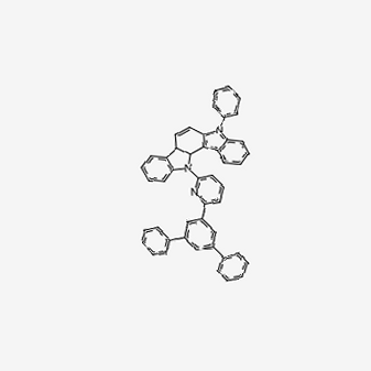 C1=CC2c3ccccc3N(c3cccc(-c4cc(-c5ccccc5)cc(-c5ccccc5)c4)n3)C2c2c1n(-c1ccccc1)c1ccccc21